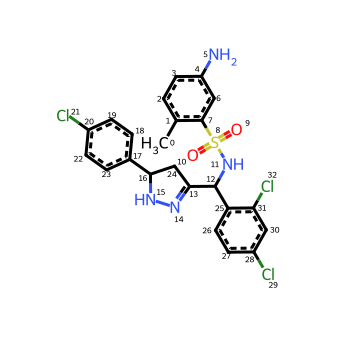 Cc1ccc(N)cc1S(=O)(=O)NC(C1=NNC(c2ccc(Cl)cc2)C1)c1ccc(Cl)cc1Cl